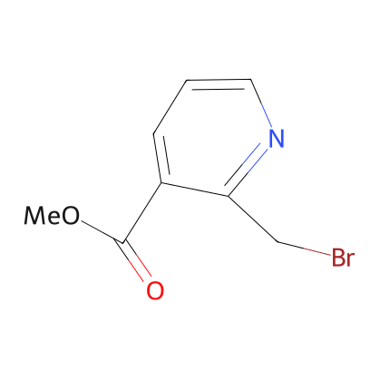 COC(=O)c1cccnc1CBr